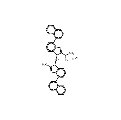 CC1=Cc2c(-c3cccc4ccccc34)cccc2[CH]1[Zr+2][CH]1C(C(C)C)=Cc2c(-c3cccc4ccccc34)cccc21.[Cl-].[Cl-]